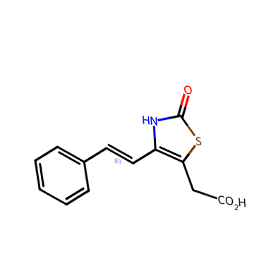 O=C(O)Cc1sc(=O)[nH]c1/C=C/c1ccccc1